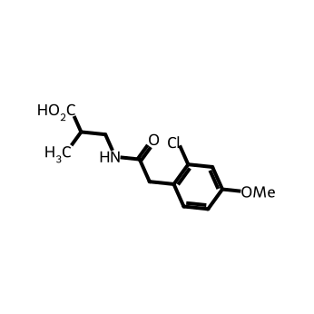 COc1ccc(CC(=O)NCC(C)C(=O)O)c(Cl)c1